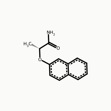 C[C@@H](Oc1ccc2ccccc2c1)C(N)=O